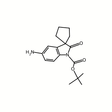 CC(C)(C)OC(=O)N1C(=O)C2(CCCC2)c2cc(N)ccc21